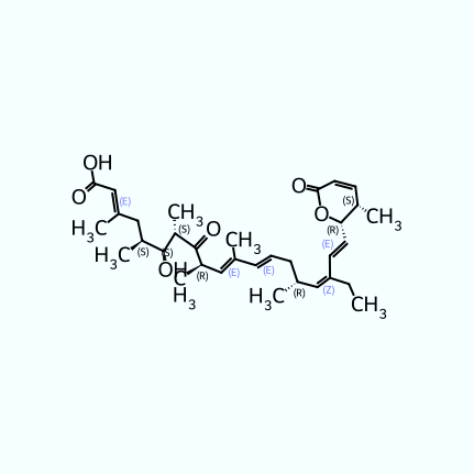 CCC(=C/[C@H](C)C/C=C/C(C)=C/[C@@H](C)C(=O)[C@@H](C)[C@@H](O)[C@@H](C)C/C(C)=C/C(=O)O)/C=C/[C@@H]1OC(=O)C=C[C@@H]1C